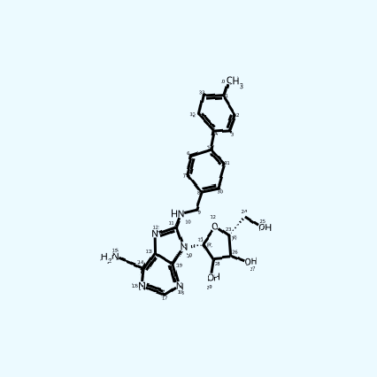 Cc1ccc(-c2ccc(CNc3nc4c(N)ncnc4n3[C@@H]3O[C@H](CO)C(O)C3O)cc2)cc1